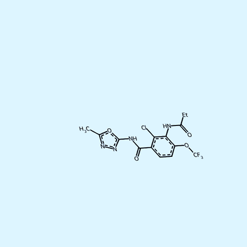 CCC(=O)Nc1c(OC(F)(F)F)ccc(C(=O)Nc2nnc(C)o2)c1Cl